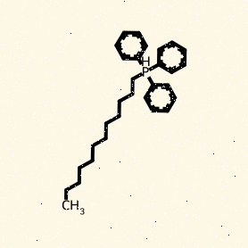 CCCCCCCCCCCC[PH](c1ccccc1)(c1ccccc1)c1ccccc1